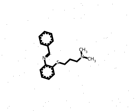 CN(C)CCCSc1ccccc1N=Cc1ccccc1